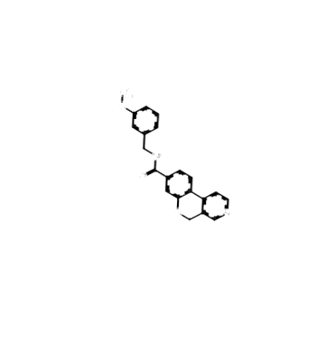 O=C(NCc1cccc(OC(F)(F)F)c1)c1ccc2c(c1)OCc1cnccc1-2